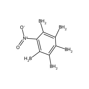 Bc1c(B)c(B)c([N+](=O)[O-])c(B)c1B